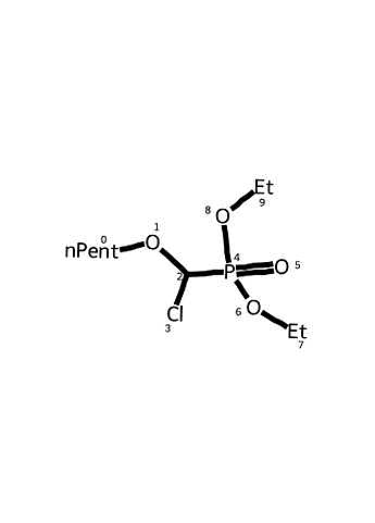 CCCCCOC(Cl)P(=O)(OCC)OCC